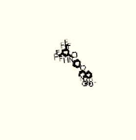 O=C(Nc1ccc(Oc2ccnc3c([N+](=O)[O-])cccc23)cc1)c1cc(C(F)(F)F)cc(C(F)(F)F)c1